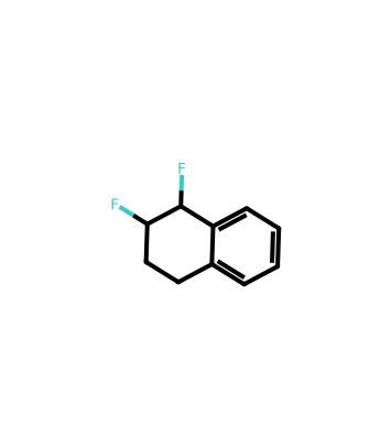 FC1CCc2ccccc2C1F